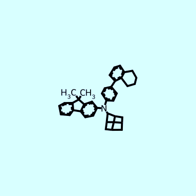 CC1(C)c2ccccc2-c2ccc(N(c3ccc(-c4cccc5c4CCCC5)cc3)C3C4CC5CC6CC3C564)cc21